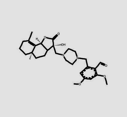 COc1cc(CN2CCN(C[C@]3(O)C(=O)O[C@@H]4C5=C(C)CCC[C@]5(C)CCC43)CC2)c(C=O)c(OC)c1